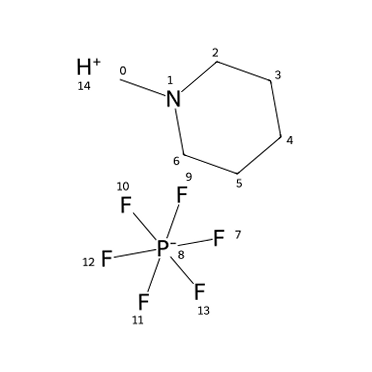 CN1CCCCC1.F[P-](F)(F)(F)(F)F.[H+]